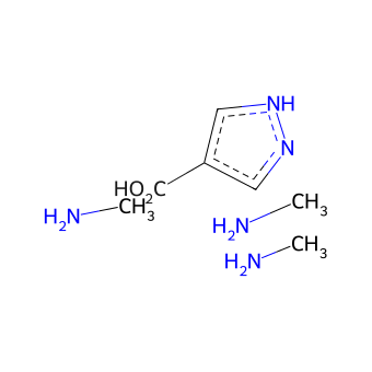 CN.CN.CN.O=C(O)c1cn[nH]c1